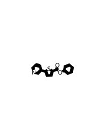 O=C(Oc1ccccc1)c1ccc(-c2c#ccnc2)s1